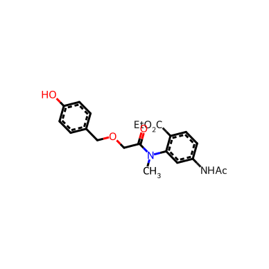 CCOC(=O)c1ccc(NC(C)=O)cc1N(C)C(=O)COCc1ccc(O)cc1